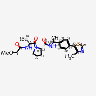 COCC(=O)N[C@H](C(=O)N1CCC[C@H]1C(=O)N[C@@H](C)c1ccc(-c2scnc2C)cc1)C(C)(C)C